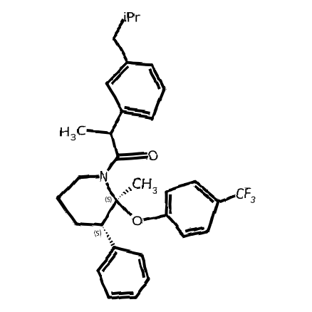 CC(C)Cc1cccc(C(C)C(=O)N2CCC[C@@H](c3ccccc3)[C@]2(C)Oc2ccc(C(F)(F)F)cc2)c1